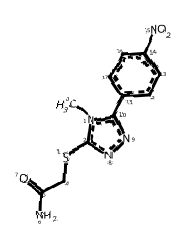 Cn1c(SCC(N)=O)nnc1-c1ccc([N+](=O)[O-])cc1